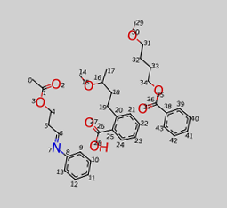 CC(=O)OCCC=Nc1ccccc1.COC(C)CCc1ccccc1C(=O)O.COCCCCOC(=O)c1ccccc1